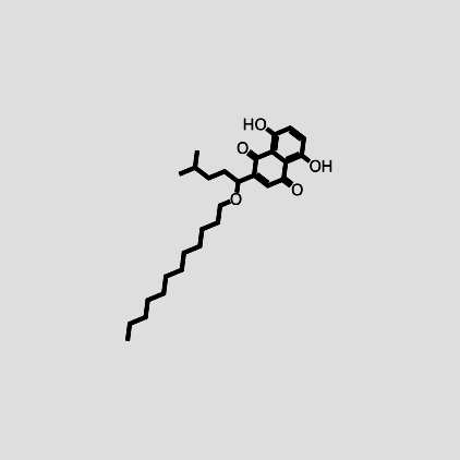 CCCCCCCCCCCCOC(CCC(C)C)C1=CC(=O)c2c(O)ccc(O)c2C1=O